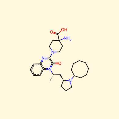 C[C@@H](C[C@@H]1CCCN1C1CCCCCCC1)n1c(=O)c(N2CCC(N)(C(=O)O)CC2)nc2ccccc21